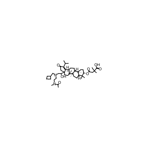 CC(=O)N(C)CCN(CC1CCC1)CC(O)C12CC[C@]3(C)[C@H](CC[C@@H]4[C@@]5(C)CC[C@H](OC(=O)CC(C)(C)C(=O)O)C(C)(C)[C@@H]5CC[C@]43C)C1=C(C(C)C)C(=O)C2